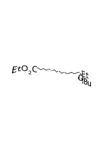 CCOC(=O)CCCCCCCCCCCCCCCC(CC)OC(C)CC